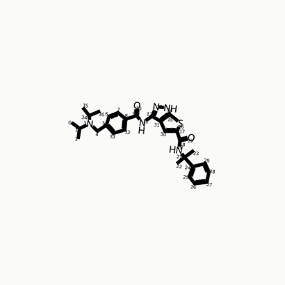 CC(C)N(Cc1ccc(C(=O)Nc2n[nH]c3sc(C(=O)NC(C)(C)c4ccccc4)cc23)cc1)C(C)C